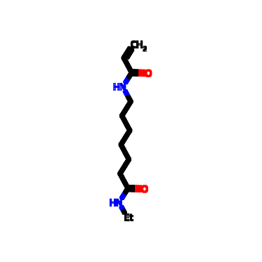 C=CC(=O)NCCCCCCC(=O)NCC